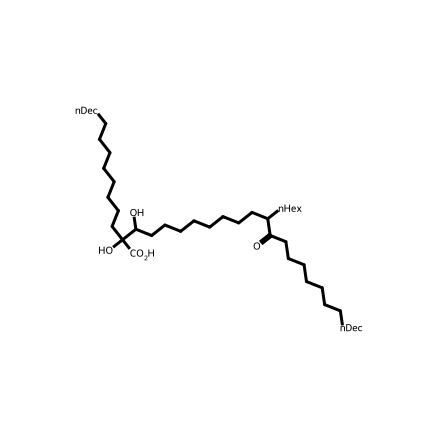 CCCCCCCCCCCCCCCCCCC(O)(C(=O)O)C(O)CCCCCCCCC(CCCCCC)C(=O)CCCCCCCCCCCCCCCCC